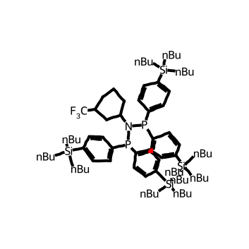 CCCC[Si](CCCC)(CCCC)c1ccc(P(c2ccc([Si](CCCC)(CCCC)CCCC)cc2)N(C2CCCC(C(F)(F)F)C2)P(c2ccc([Si](CCCC)(CCCC)CCCC)cc2)c2ccc([Si](CCCC)(CCCC)CCCC)cc2)cc1